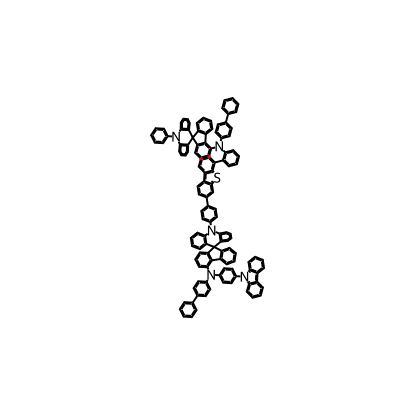 c1ccc(-c2ccc(N(c3ccc(-n4c5ccccc5c5ccccc54)cc3)c3cccc4c3-c3ccccc3C43c4ccccc4N(c4ccc(-c5ccc6c(c5)sc5c(-c7ccccc7N(c7ccc(-c8ccccc8)cc7)c7cccc8c7-c7ccccc7C87c8ccccc8N(c8ccccc8)c8ccccc87)cccc56)cc4)c4ccccc43)cc2)cc1